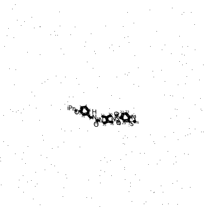 CC(C)Oc1cccc(CNC(=O)N2CC3=C(C2)CN(S(=O)(=O)c2ccc4ncsc4c2)C3)c1